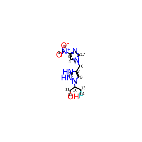 O=[N+]([O-])c1cn(CC2=CN(C(CO)CF)NN2)cn1